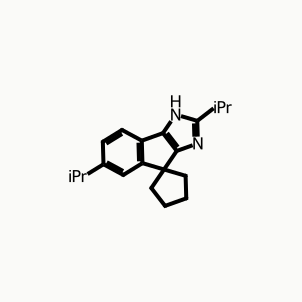 CC(C)c1ccc2c(c1)C1(CCCC1)c1nc(C(C)C)[nH]c1-2